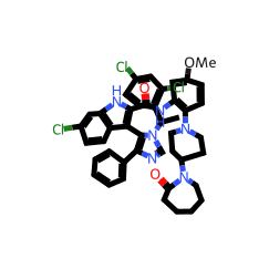 COc1ccc(N2CCC(N3CCCCCC3=O)CC2)c(NC(=O)c2[nH]c3cc(Cl)ccc3c2-c2c(-c3ccccc3)ncn2C(C)c2ccc(Cl)cc2Cl)c1